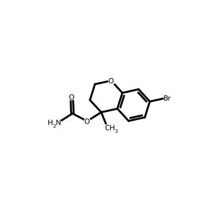 CC1(OC(N)=O)CCOc2cc(Br)ccc21